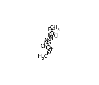 C=CCOc1cc(Cl)c(-c2nnc(-c3cn4cc(C(C)(F)F)cc(Cl)c4n3)s2)cc1F